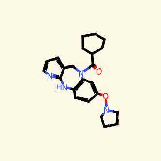 O=C(C1CCCCC1)N1Cc2cccnc2Nc2ccc(ON3CCCC3)cc21